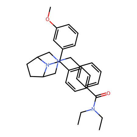 CCN(CC)C(=O)c1ccc(C(c2cccc(OC)c2)N2C3CCC2CN(Cc2ccccc2)C3)cc1